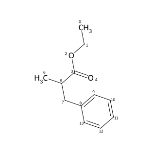 CCOC(=O)C(C)Cc1ccccc1